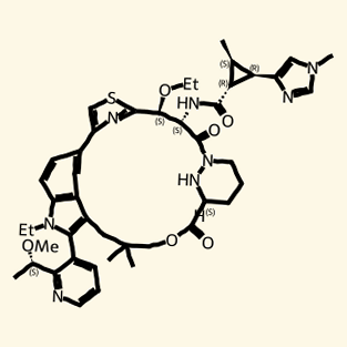 CCO[C@@H]1c2nc(cs2)-c2ccc3c(c2)c(c(-c2cccnc2[C@H](C)OC)n3CC)CC(C)(C)COC(=O)[C@@H]2CCCN(N2)C(=O)[C@H]1NC(=O)[C@@H]1[C@@H](C)[C@H]1c1cn(C)cn1